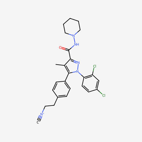 [C-]#[N+]CCc1ccc(-c2c(C)c(C(=O)NN3CCCCC3)nn2-c2ccc(Cl)cc2Cl)cc1